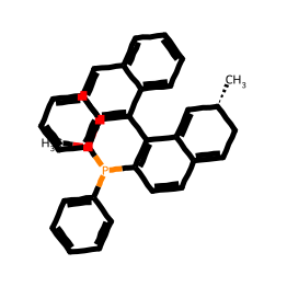 COc1ccc2ccccc2c1-c1c(P(c2ccccc2)c2ccccc2)ccc2c1=C[C@H](C)CC=2